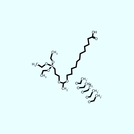 [CH2]C(OCCCCCCCCCCCC(=O)O)OCCC[Si](OCC)(OCC)OCC.[CH2]C[O].[CH2]C[O].[CH2]C[O].[CH2]C[O].[CH2]C[O]